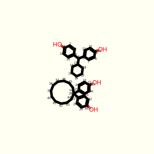 Oc1ccc(C(c2ccc(O)cc2)C2CCCCC2)cc1.Oc1ccc(C2(c3ccc(O)cc3)CCCCCCCCCCC2)cc1